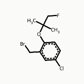 CC(C)(CF)Oc1ccc(Cl)cc1CBr